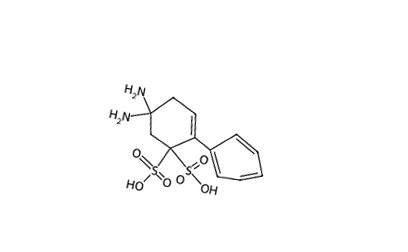 NC1(N)CC=C(c2ccccc2)C(S(=O)(=O)O)(S(=O)(=O)O)C1